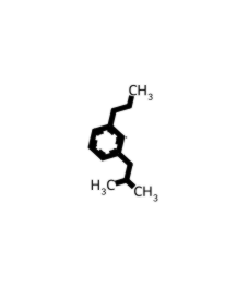 CCCc1[c]c(CC(C)C)ccc1